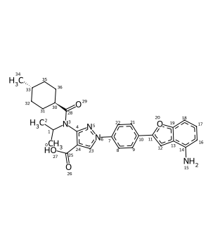 CC(C)N(c1nn(-c2ccc(-c3cc4c(N)cccc4o3)cc2)cc1C(=O)O)C(=O)[C@H]1CC[C@H](C)CC1